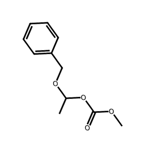 COC(=O)OC(C)OCc1ccccc1